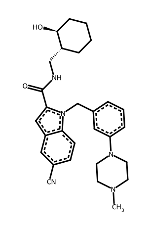 CN1CCN(c2cccc(Cn3c(C(=O)NC[C@H]4CCCC[C@@H]4O)cc4cc(C#N)ccc43)c2)CC1